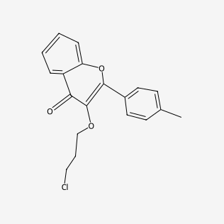 Cc1ccc(-c2oc3ccccc3c(=O)c2OCCCCl)cc1